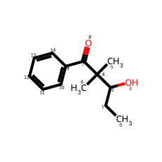 CCC(O)C(C)(C)C(=O)c1ccccc1